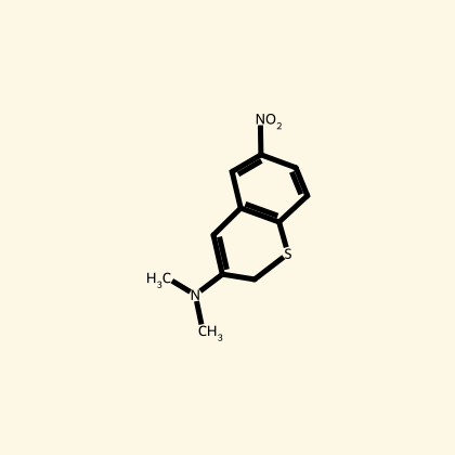 CN(C)C1=Cc2cc([N+](=O)[O-])ccc2SC1